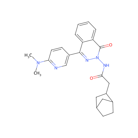 CN(C)c1ccc(-c2nn(NC(=O)CC3CC4CCC3C4)c(=O)c3ccccc23)cn1